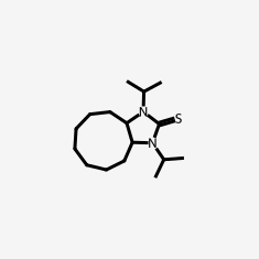 CC(C)N1C(=S)N(C(C)C)C2CCCCCCCC21